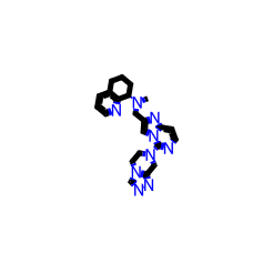 CN(Cc1cn2c(N3CCn4cnnc4C3)nccc2n1)[C@H]1CCCc2cccnc21